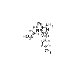 Cc1nc2cc(C3CCC(C(F)(F)F)CC3)nn2c(N2CCC[C@H](C(=O)O)C2)c1C(C)C